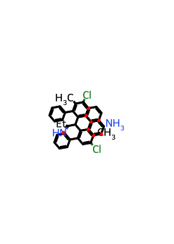 CCC(=N)C(c1c(-c2ccccc2)cc(Cl)c(C)c1-c1ccccc1)c1c(-c2ccccc2)cc(Cl)c(C)c1-c1ccccc1.N